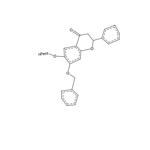 CCCCCOc1cc2c(cc1OCc1ccccc1)OC(c1ccccc1)CC2=O